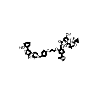 Cc1ncsc1-c1ccc(CNC(=O)[C@@H]2C[C@@H](O)CN2C(=O)[C@@H](NC(=O)C2(F)CC2)C(C)(C)C)c(OCCCOc2ccc(CN3CCN(c4cc(-c5ccccc5O)nnc4N)CC3)cc2)c1